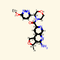 CCOc1ccc([C@H]2COCCN2C(=O)c2cc3c4c(c(N)nc3cn2)[C@@H](C)OC4)nn1